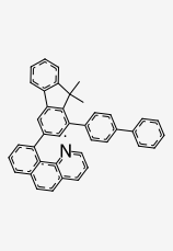 CC1(C)c2ccccc2-c2cc(-c3cccc4ccc5cccnc5c34)[c]c(-c3ccc(-c4ccccc4)cc3)c21